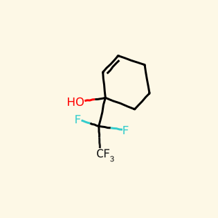 OC1(C(F)(F)C(F)(F)F)C=CCCC1